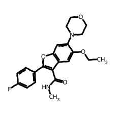 CCOc1cc2c(C(=O)NC)c(-c3ccc(F)cc3)oc2cc1N1CCOCC1